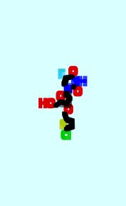 O=c1[nH]c(=O)n([C@H]2C[C@H](OCc3ccc(Cl)s3)[C@@H](CO)O2)cc1F